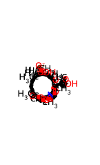 CO[C@H]1C[C@@H]2CC[C@@H](C)[C@@](O)(O2)C(=O)C(=O)N2CCCC[C@H]2C(=O)O[C@H]([C@H](C)C[C@@H]2CC[C@@H](O)[C@H](OC)C2)CC(=O)[C@H](C)/C=C(\C)[C@@H](O)[C@@H](OC)C(=O)[C@H](C)C[C@H](C)/C=C/C=C/C=C/1C.C[S+](C)[O-]